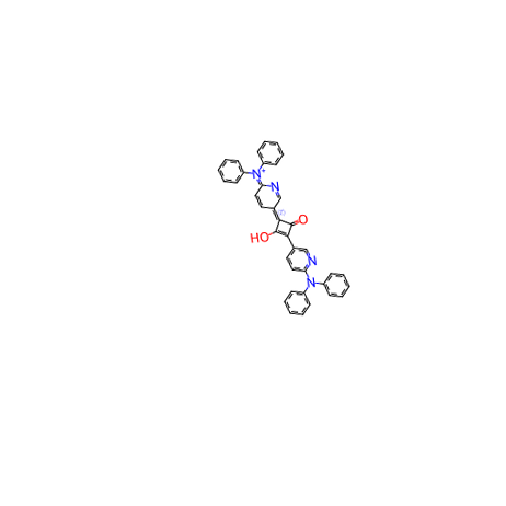 O=C1C(c2ccc(N(c3ccccc3)c3ccccc3)nc2)=C(O)/C1=C1\C=CC(=[N+](c2ccccc2)c2ccccc2)N=C1